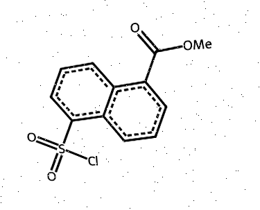 COC(=O)c1cccc2c(S(=O)(=O)Cl)cccc12